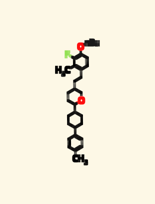 CCCCOc1ccc(CCC2CCC(C3CCC(c4ccc(C)cc4)CC3)OC2)c(C)c1F